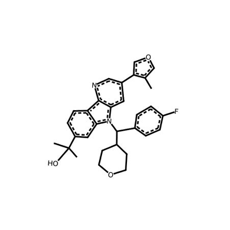 Cc1cocc1-c1cnc2c3ccc(C(C)(C)O)cc3n(C(c3ccc(F)cc3)C3CCOCC3)c2c1